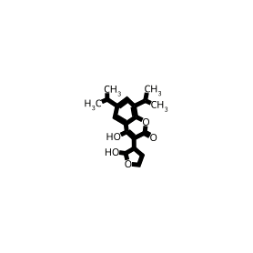 CC(C)c1cc(C(C)C)c2oc(=O)c(C3CCOC3O)c(O)c2c1